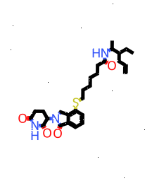 C=CCC(CC)C(C)NC(=O)CCCCCCSc1cccc2c1CN(C1CCC(=O)NC1=O)C2=O